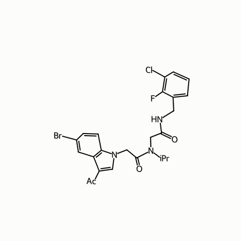 CC(=O)c1cn(CC(=O)N(CC(=O)NCc2cccc(Cl)c2F)C(C)C)c2ccc(Br)cc12